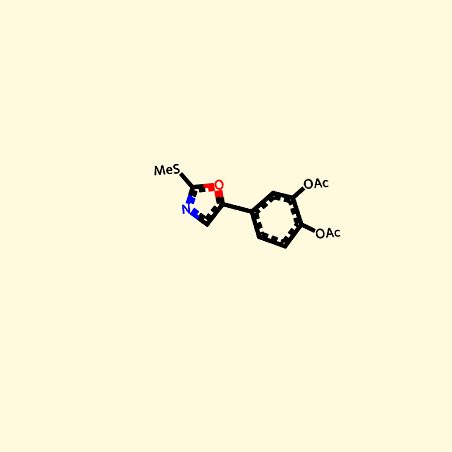 [CH2]Sc1ncc(-c2ccc(OC(C)=O)c(OC(C)=O)c2)o1